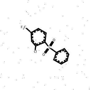 O=S(=O)(c1cc[c]cc1)c1ccc(C(F)(F)F)cc1Cl